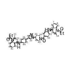 CCC(=O)N1c2ccccc2[C@H](Nc2ccc(C(=O)N3CCC(n4cc(-c5ccc(N[C@@H]6C[C@H](C)N(C(=O)CC)c7ccccc76)cc5)cn4)CC3)cc2)C[C@@H]1C